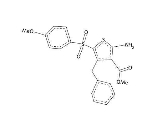 COC(=O)c1c(N)sc(S(=O)(=O)c2ccc(OC)cc2)c1Cc1ccccc1